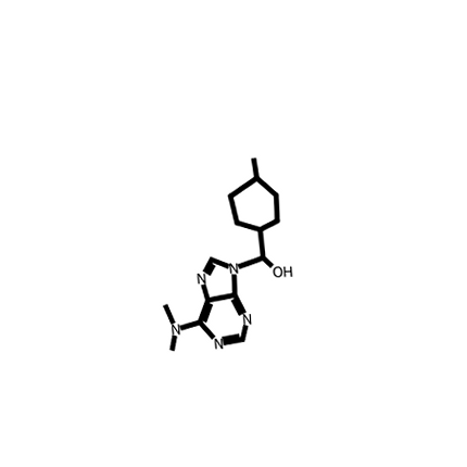 CC1CCC(C(O)n2cnc3c(N(C)C)ncnc32)CC1